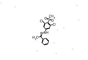 CC(=NNc1cc(Cl)c(S(C)(=O)=O)c(Cl)c1)c1ccccc1